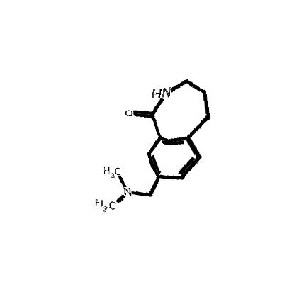 CN(C)Cc1ccc2c(c1)C(=O)NCCC2